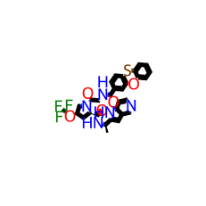 C[C@@H](NC(=O)[C@@H]1C[C@@H](OC(F)(F)F)CN1C(=O)CNC(=O)c1ccc2c(c1)Oc1ccccc1S2)C1=CC2C=NC=CC2N1